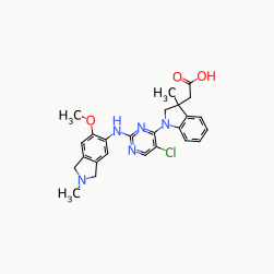 COc1cc2c(cc1Nc1ncc(Cl)c(N3CC(C)(CC(=O)O)c4ccccc43)n1)CN(C)C2